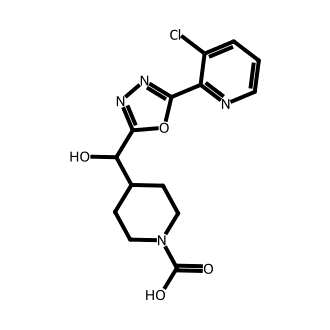 O=C(O)N1CCC(C(O)c2nnc(-c3ncccc3Cl)o2)CC1